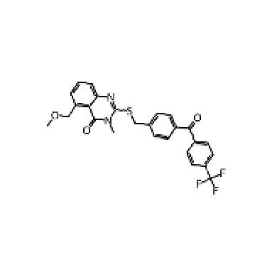 COCc1cccc2nc(SCc3ccc(C(=O)c4ccc(C(F)(F)F)cc4)cc3)n(C)c(=O)c12